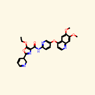 CCOc1oc(C2C=CC=NC2)nc1C(=O)Nc1ccc(Oc2ccnc3cc(OC)c(OC)cc23)cn1